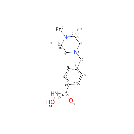 CCN1[C@H](C)CN(Cc2ccc(C(=O)NO)cc2)C[C@@H]1C